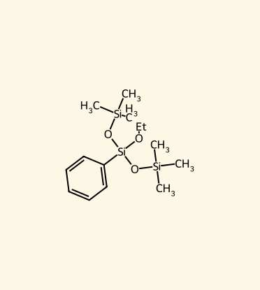 CCO[Si](O[Si](C)(C)C)(O[Si](C)(C)C)c1ccccc1